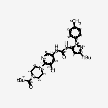 Cc1ccc(-n2nc(C(C)(C)C)cc2NC(=O)Nc2cnc(N3CCN(C(=O)C(C)(C)C)CC3)c(Cl)c2)cc1